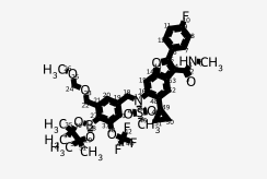 CNC(=O)c1c(-c2ccc(F)cc2)oc2cc(N(Cc3cc(COCOC)c(B4OC(C)(C)C(C)(C)O4)c(OC(F)(F)F)c3)S(C)(=O)=O)c(C3CC3)cc12